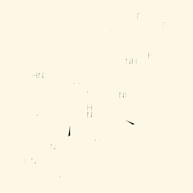 CNC(=O)C(=O)[C@H](CN1CCNC1=O)NC(=O)[C@H](CC(C)C)NC(=O)[C@@H](NC(=O)C(F)(F)F)C(C)(C)C